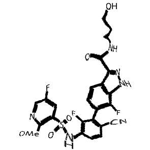 COc1ncc(F)cc1S(=O)(=O)Nc1ccc(C#N)c(-c2ccc3c(C(=O)NCCCO)n[nH]c3c2F)c1F